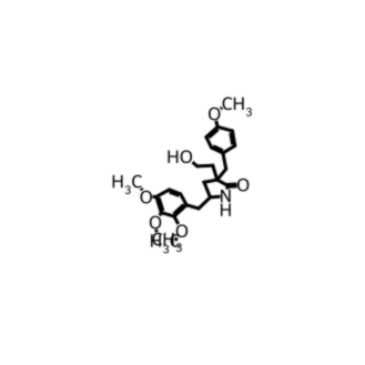 COc1ccc(CC2(CCO)CC(Cc3ccc(OC)c(OC)c3OC)NC2=O)cc1